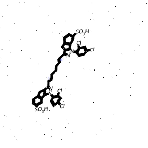 O=S(=O)(O)c1ccc2c(c1)-c1c(c(/C=C/CCC/C=C/c3nn(-c4ccc(Cl)cc4Cl)c4c3Cc3ccc(S(=O)(=O)O)cc3-4)nn1-c1ccc(Cl)cc1Cl)C2